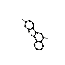 Clc1ccc2c(c1)oc1c3ccccc3c(Br)cc21